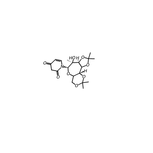 CC1(C)OCC2O[C@@H](N3C=CC(=O)CC3=O)[C@@](C)(O)[C@H]3OC(C)(C)OC3[C@@H]2O1